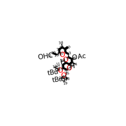 C=C1C(C[C@@H]2O[C@H]3C[C@@H](O[Si](C)(C)C(C)(C)C)[C@@H](CO[Si](C)(C)C(C)(C)C)O[C@H]3[C@H](C)[C@H]2OC(C)=O)O[C@@H](CCC=O)C[C@H]1C